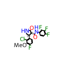 COc1c(F)ccc([C@H]2CNC(=O)[C@@H]2C(=O)Nc2ccc(F)c(F)c2F)c1Cl